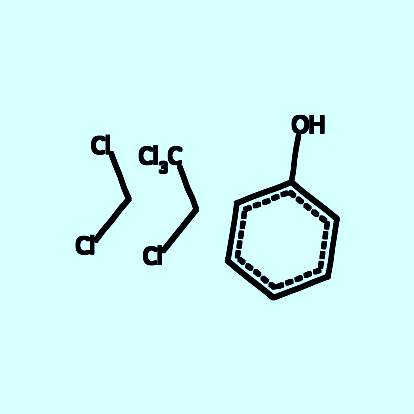 ClCC(Cl)(Cl)Cl.ClCCl.Oc1ccccc1